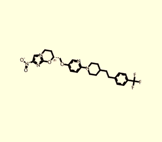 O=[N+]([O-])c1cn2c(n1)O[C@@H](COc1ccc(N3CCC(CCc4ccc(C(F)(F)F)cc4)CC3)nc1)CC2